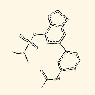 CC(=O)Nc1cc(-c2cc(OS(=O)(=O)N(C)C)c3ccnn3c2)ccn1